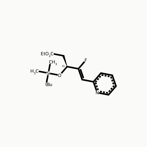 CCOC(=O)C[C@H](O[Si](C)(C)C(C)(C)C)C(F)=Cc1ccccn1